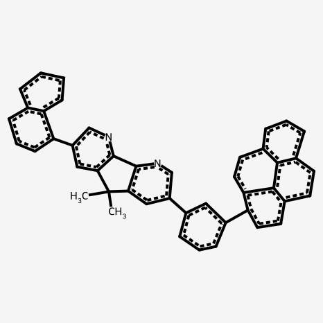 CC1(C)c2cc(-c3cccc(-c4ccc5ccc6cccc7ccc4c5c67)c3)cnc2-c2ncc(-c3cccc4ccccc34)cc21